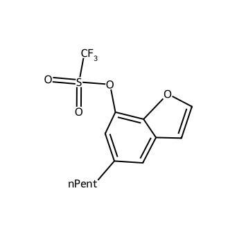 CCCCCc1cc(OS(=O)(=O)C(F)(F)F)c2occc2c1